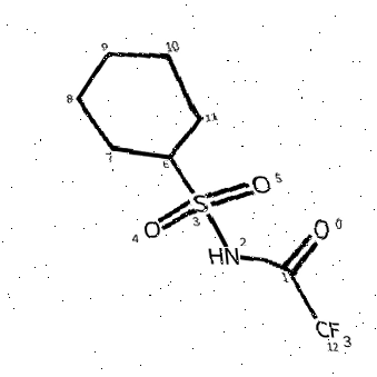 O=C(NS(=O)(=O)C1CCCCC1)C(F)(F)F